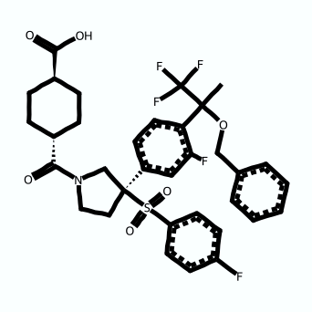 CC(OCc1ccccc1)(c1ccc([C@]2(S(=O)(=O)c3ccc(F)cc3)CCN(C(=O)[C@H]3CC[C@H](C(=O)O)CC3)C2)cc1F)C(F)(F)F